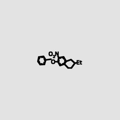 CCC1CCc2cc(OCc3ccccc3)c([N+](=O)[O-])cc2C1